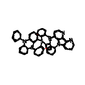 c1ccc(N2c3ccccc3B3c4ccccc4S4(c5ccccc5B(c5ccnc6c7ncccc7n(-c7ccccc7)c56)c5ccccc54)c4cccc2c43)cc1